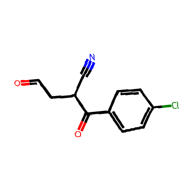 N#CC(CC=O)C(=O)c1ccc(Cl)cc1